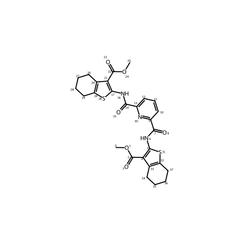 COC(=O)c1c(NC(=O)c2cccc(C(=O)Nc3sc4c(c3C(=O)OC)CCCC4)n2)sc2c1CCCC2